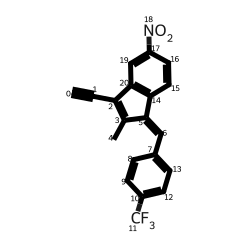 C#CC1=C(C)C(=Cc2ccc(C(F)(F)F)cc2)c2ccc([N+](=O)[O-])cc21